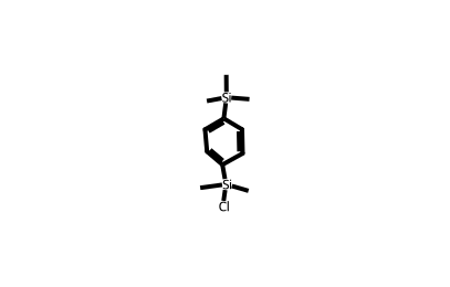 C[Si](C)(C)c1ccc([Si](C)(C)Cl)cc1